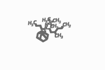 C=CCC(C)CC[P@@](CCCC)(=NS(C)(C)C)C12CC3CC(CC(C3)C1)C2